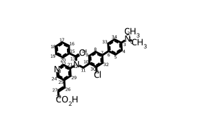 CN(C)c1ccc(-c2ccc(CN(C(=O)c3ccccc3)c3cncc(/C=C/C(=O)O)c3)c(Cl)c2)cc1